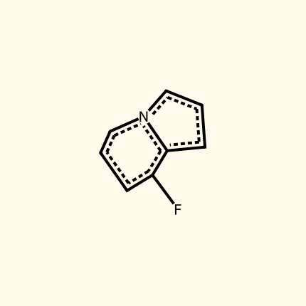 Fc1cccn2cccc12